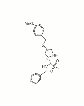 COc1ccc(CS[C@H]2CN[C@H](C(NCc3ccccc3)S(C)(=O)=O)C2)cc1